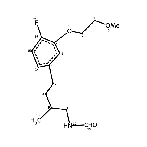 COCCOc1cc(CCC(C)CNC=O)ccc1F